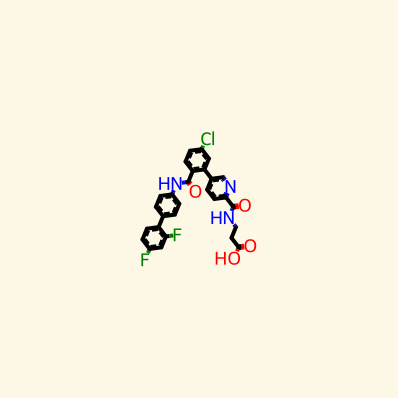 O=C(O)CCNC(=O)c1ccc(-c2cc(Cl)ccc2C(=O)Nc2ccc(-c3ccc(F)cc3F)cc2)cn1